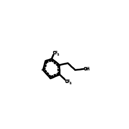 OCCc1c(C(F)(F)F)c[c]cc1C(F)(F)F